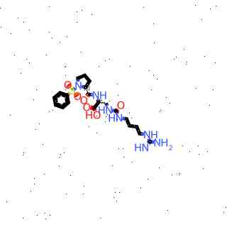 N=C(N)NCCCCNC(=O)NC[C@@H](NC(=O)[C@H]1CCCN1S(=O)(=O)c1ccccc1)C(=O)O